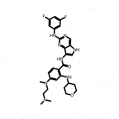 CN(C)CCN(C)c1ccc(C(=O)Nc2c[nH]c3cnc(Nc4cc(F)cc(F)c4)nc23)c(NC2CCOCC2)c1